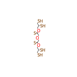 S=C(COCC(=S)OCC(S)CS)OCC(S)CS